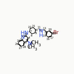 CN(C)c1cc(N[C@H]2CC[C@@H](CNCc3cccc(Br)c3)CC2)nc2ccccc12